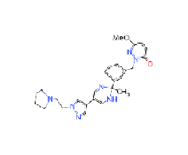 COc1ccc(=O)n(Cc2cccc(C3(C)N=CC(c4cnn(CCN5CCCC5)c4)=CN3)c2)n1